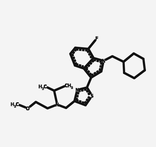 COCCN(Cc1csc(-c2cn(CC3CCCCC3)c3c(F)cccc23)n1)C(C)C